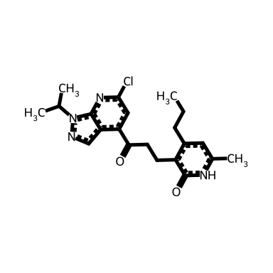 CCCc1cc(C)[nH]c(=O)c1CCC(=O)c1cc(Cl)nc2c1cnn2C(C)C